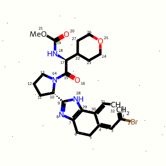 C=C(Br)/C=C1/CCc2nc([C@@H]3CCCN3C(=O)[C@@H](NC(=O)OC)C3CCOCC3)[nH]c2/C1=C/C